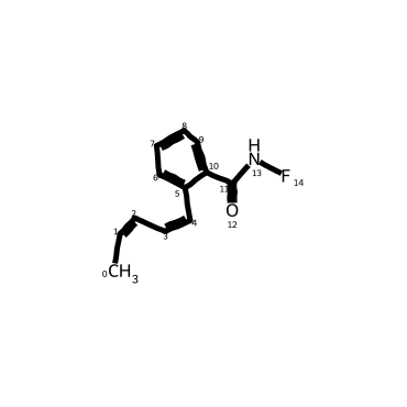 C/C=C\C=C/c1ccccc1C(=O)NF